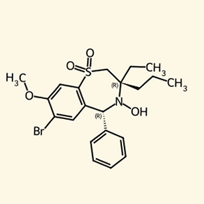 CCC[C@]1(CC)CS(=O)(=O)c2cc(OC)c(Br)cc2[C@@H](c2ccccc2)N1O